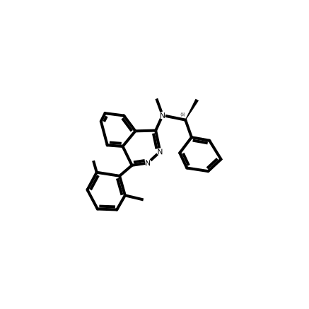 Cc1cccc(C)c1-c1nnc(N(C)[C@@H](C)c2ccccc2)c2ccccc12